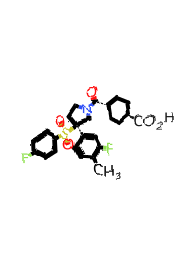 Cc1ccc([C@]2(S(=O)(=O)c3ccc(F)cc3)CCN(C(=O)[C@H]3CC[C@H](C(=O)O)CC3)C2)cc1F